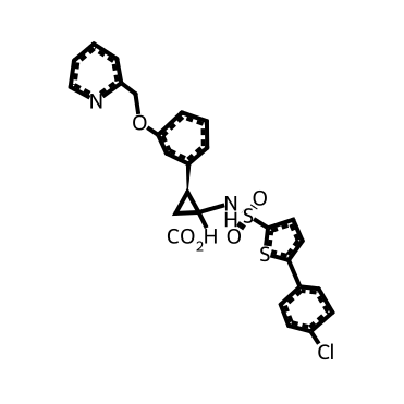 O=C(O)C1(NS(=O)(=O)c2ccc(-c3ccc(Cl)cc3)s2)C[C@H]1c1cccc(OCc2ccccn2)c1